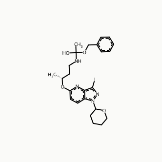 C[C@H](CCNC(C)(O)OCc1ccccc1)Oc1ccc2c(n1)c(I)nn2C1CCCCO1